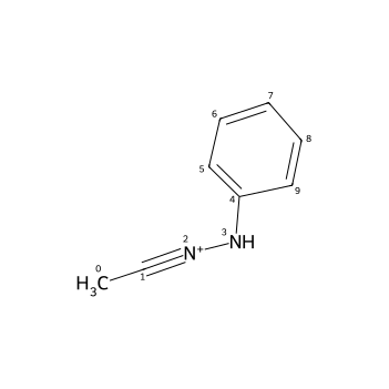 CC#[N+]Nc1ccccc1